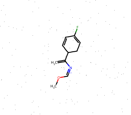 C=C(/N=C\OC)C1C=CC(F)=CC1